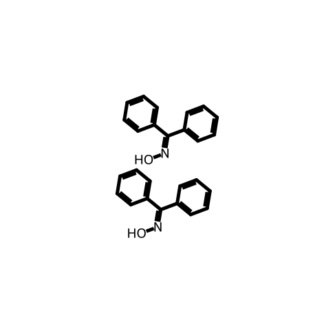 ON=C(c1ccccc1)c1ccccc1.ON=C(c1ccccc1)c1ccccc1